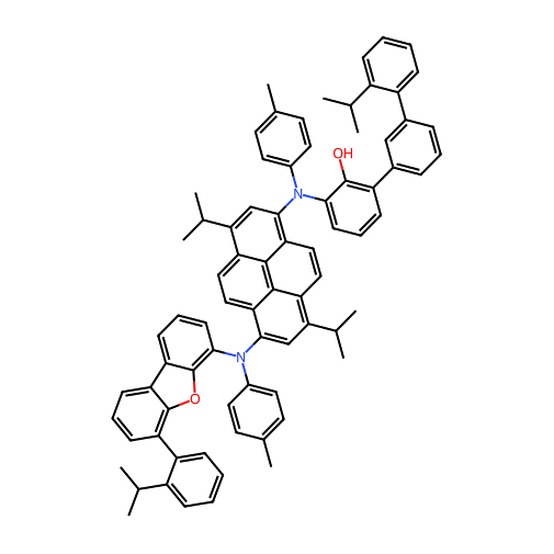 Cc1ccc(N(c2cccc(-c3cccc(-c4ccccc4C(C)C)c3)c2O)c2cc(C(C)C)c3ccc4c(N(c5ccc(C)cc5)c5cccc6c5oc5c(-c7ccccc7C(C)C)cccc56)cc(C(C)C)c5ccc2c3c54)cc1